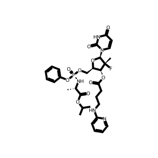 CC(C)OC(=O)[C@H](C)N[P@](=O)(OC[C@H]1O[C@@H](n2ccc(=O)[nH]c2=O)[C@](C)(F)[C@@H]1OC(=O)CCCNc1ccccn1)Oc1ccccc1